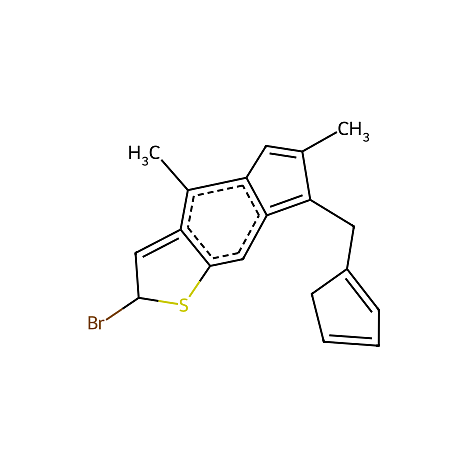 CC1=Cc2c(C)c3c(cc2=C1CC1=CC=CC1)SC(Br)C=3